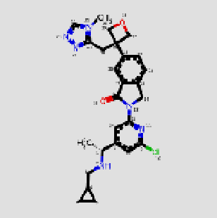 C[C@@H](NCC1CC1)c1cc(Cl)nc(N2Cc3ccc(C4(Cc5nncn5C)COC4)cc3C2=O)c1